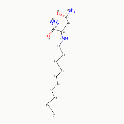 CCCCCCCCCCNC(CC(N)=O)C(N)=O